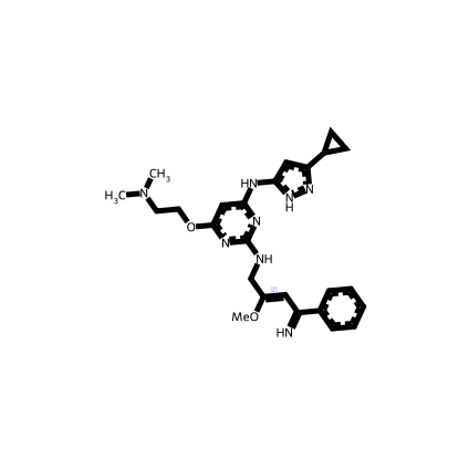 CO/C(=C\C(=N)c1ccccc1)CNc1nc(Nc2cc(C3CC3)n[nH]2)cc(OCCN(C)C)n1